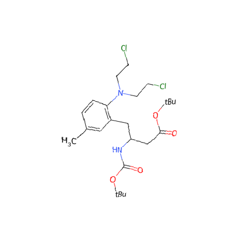 Cc1ccc(N(CCCl)CCCl)c(CC(CC(=O)OC(C)(C)C)NC(=O)OC(C)(C)C)c1